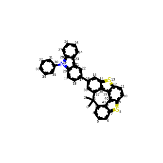 CC1(C)c2cccc3sc4ccc5sc6cc(-c7ccc8c(c7)c7ccccc7n8-c7ccccc7)cc1c6c5c4c23